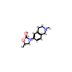 CC1CN(c2ccc3c(c2)CCN(C)C3)C(=O)O1